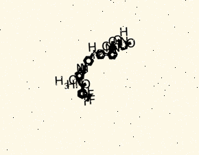 Cc1cc2nn(C3CCC(CN4CCC(c5cccc6c5n(C)c(=O)n6[C@@H]5CCC(=O)NC5=O)CC4)CC3)cc2cc1NC(=O)c1cccc(C(F)(F)F)n1